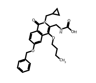 CCCCOc1c(CNC(=O)O)n(CC2CC2)c(=O)c2ccc(OCc3ccccc3)cc12